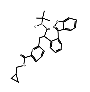 CC(C)(C)[S@+]([O-])NC(Cc1cccc(C(=O)NCC2CC2)n1)c1ccccc1-c1noc2ccccc12